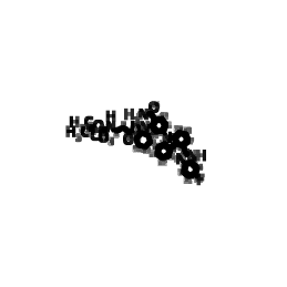 CC(C)(C)OC(=O)NCCC(=O)OC1(Nc2cc(-n3c4ccccc4c4c(-c5nc6ccc(F)cc6[nH]5)cccc43)ccc2C(N)=O)CCCCC1